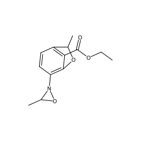 CCOC(=O)c1c2ccc(N3OC3C)c1OC2C